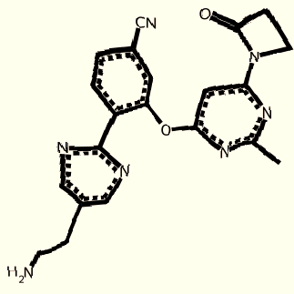 Cc1nc(Oc2cc(C#N)ccc2-c2ncc(CCN)cn2)cc(N2CCC2=O)n1